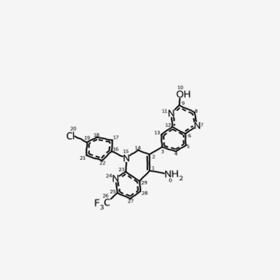 NC1=C(c2ccc3ncc(O)nc3c2)CN(c2ccc(Cl)cc2)c2nc(C(F)(F)F)ccc21